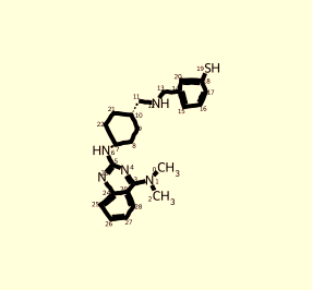 CN(C)c1nc(N[C@H]2CC[C@@H](CNCc3cccc(S)c3)CC2)nc2ccccc12